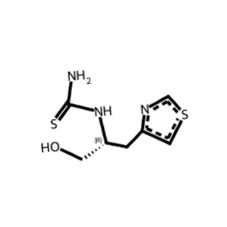 NC(=S)N[C@@H](CO)Cc1cscn1